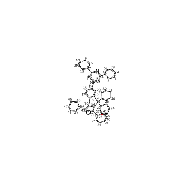 c1ccc(-c2nc(-c3ccccc3)nc(-c3ccc4c(c3)C(c3ccccc3)(c3ccccc3)c3c(-c5ccccc5)oc(-c5ccccc5)c3-4)n2)cc1